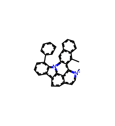 Cc1c2ccccc2cc2c1c1c3c(ccc4c5cccc(-c6ccccc6)c5n2c43)cc[n+]1C